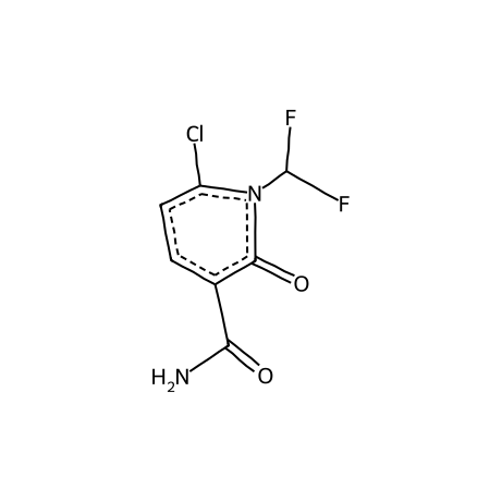 NC(=O)c1ccc(Cl)n(C(F)F)c1=O